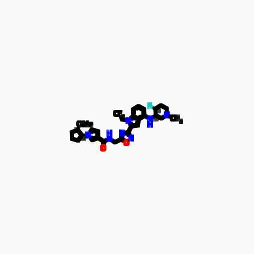 CO[C@@H]1CCC[C@H]1n1ccc(C(=O)NCc2nc(-c3cc4c(N[C@@H]5CN(C)CC[C@@H]5F)cccc4n3CC(F)(F)F)no2)c1